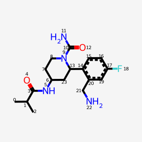 CC(C)C(=O)NC1CCN(C(N)=O)C(c2ccc(F)cc2CN)C1